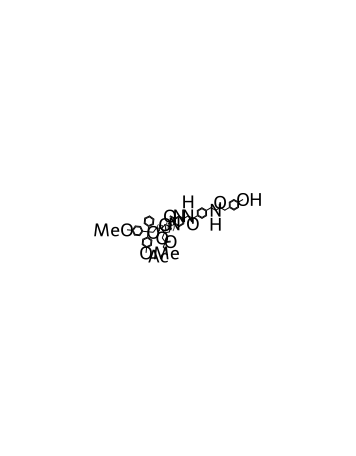 COc1ccc(C(OC[C@H]2O[C@@H](n3ccc(NC(=O)c4ccc(CNC(=O)Cc5ccc(O)cc5)cc4)nc3=O)CC2OC(=O)CCC(C)=O)(c2ccccc2)c2ccc(OC)cc2)cc1